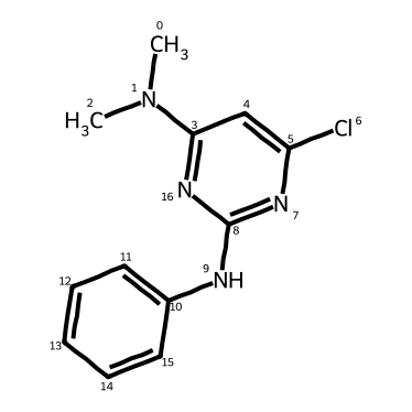 CN(C)c1cc(Cl)nc(Nc2ccccc2)n1